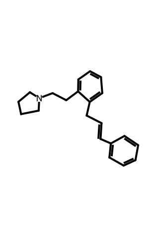 C(=C\c1ccccc1)/Cc1ccccc1CCN1CCCC1